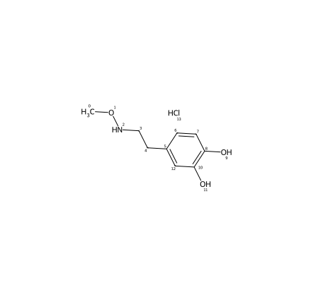 CONCCc1ccc(O)c(O)c1.Cl